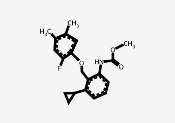 COC(=O)Nc1cccc(C2CC2)c1COc1cc(C)c(C)cc1F